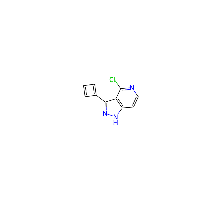 Clc1nccc2[nH]nc(C3=CC=C3)c12